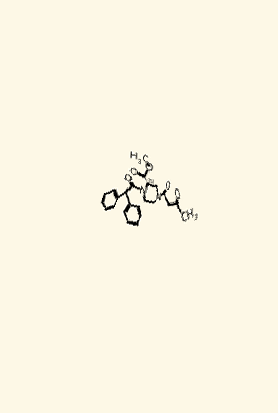 COC(=O)[C@@H]1CN(C(=O)CC(C)=O)CCN1C(=O)C(c1ccccc1)c1ccccc1